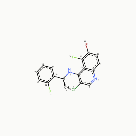 C[C@H](Nc1c(Cl)cnc2ccc(Br)c(F)c12)c1ccccc1F